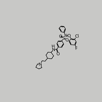 O=C(NC1CCC(CCN2CCCC2)CC1)c1ccc(S(=O)(=O)N(Oc2ccc(F)cc2Cl)c2ccccc2)cc1